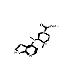 COC(=O)N1CC[C@@H](C)C(N(C)c2ccnc3c2CCN3)C1